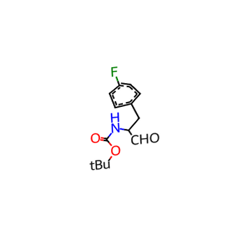 CC(C)(C)OC(=O)NC(C=O)Cc1ccc(F)cc1